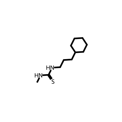 CNC(=S)NCCCC1CCCCC1